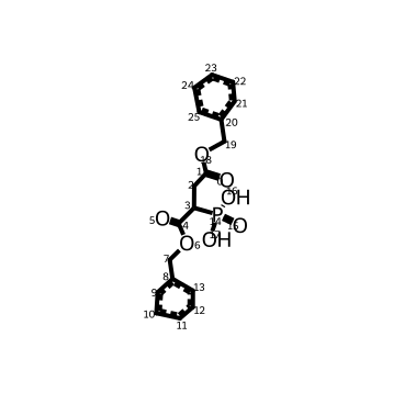 O=C(CC(C(=O)OCc1ccccc1)P(=O)(O)O)OCc1ccccc1